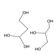 OCC(O)CO.OCCC(O)O